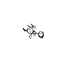 CCOC(=O)c1nn(C2CCCCO2)cc1N(CC)C(C)=O